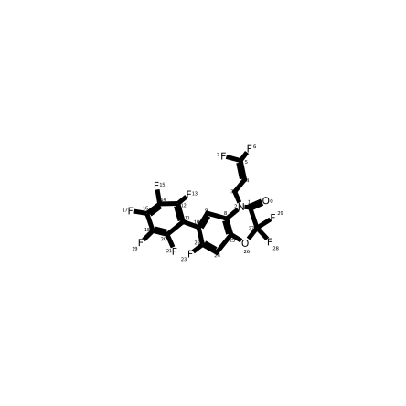 O=C1N(CC=C(F)F)c2cc(-c3c(F)c(F)c(F)c(F)c3F)c(F)cc2OC1(F)F